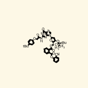 CC(C)(C)c1ccc(OCC(=O)Nc2nc3c(ncn3[C@H]3C[C@H](O[Si](C)(C)C(C)(C)C)[C@@H](COC(=O)c4ccccc4C(=O)Oc4ccccc4C#N)O3)c(=O)[nH]2)cc1